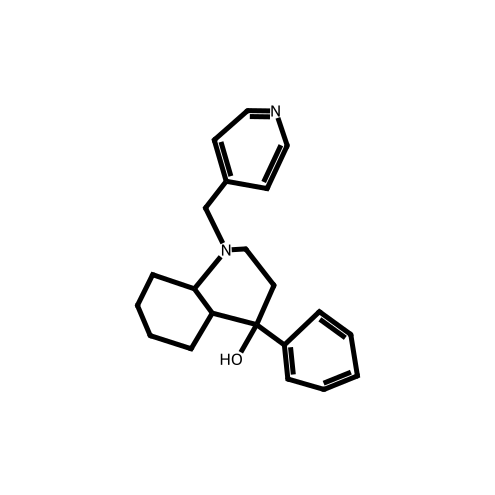 OC1(c2ccccc2)CCN(Cc2ccncc2)C2CCCCC21